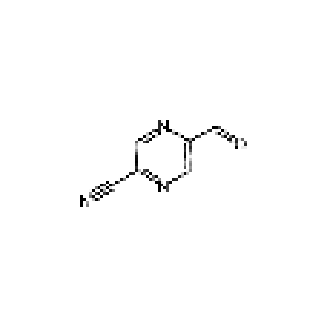 N#Cc1cnc(C=O)cn1